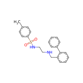 Cc1ccc(S(=O)(=O)NCCNCc2ccccc2-c2ccccc2)cc1